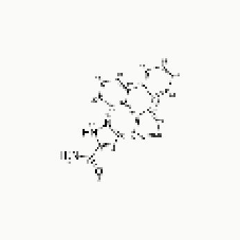 NC(=O)c1cc(-c2cccc(-c3ccccc3-c3ccccc3)c2)n[nH]1